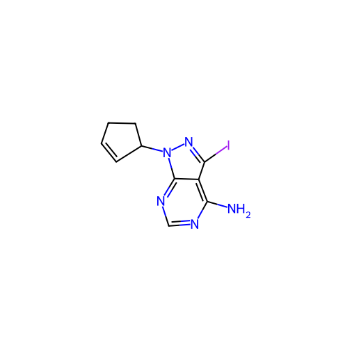 Nc1ncnc2c1c(I)nn2C1C=CCC1